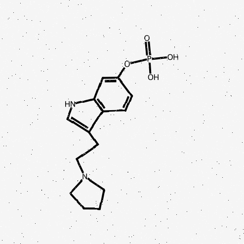 O=P(O)(O)Oc1ccc2c(CCN3CCCC3)c[nH]c2c1